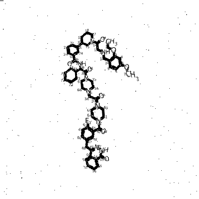 CCOc1cc(OC)ccc1CNCC(=O)N1CCCC(c2cccc(C(=O)N[C@@H](C(=O)N3CCN(CC(=O)N4CCN(C(=O)c5cc(Cc6n[nH]c(=O)c7ccccc67)ccc5F)CC4)CC3)C3CCCCC3)c2)C1